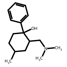 CC1CCC(O)(c2ccccc2)C(CN(C)C)C1